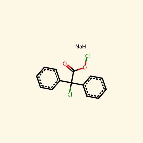 O=C(OCl)C(Cl)(c1ccccc1)c1ccccc1.[NaH]